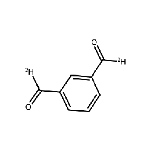 [2H]C(=O)c1cccc(C([2H])=O)c1